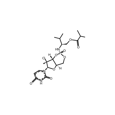 CC(C)C(=O)OC[C@@H](N[P@]1(=O)OC[C@H]2O[C@@H](n3ccc(=O)[nH]c3=O)[C@](C)(Cl)[C@@H]2O1)C(C)C